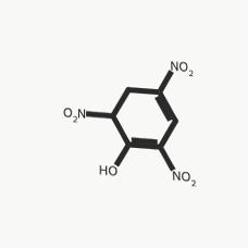 O=[N+]([O-])C1=CC([N+](=O)[O-])=C(O)C([N+](=O)[O-])C1